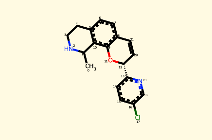 CC1NCCc2ccc3c(c21)O[C@@H](c1ccc(Cl)cn1)C=C3